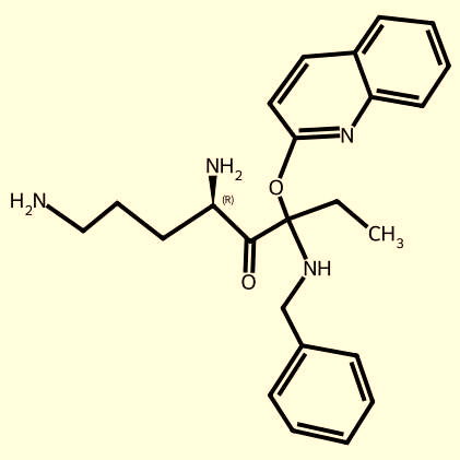 CCC(NCc1ccccc1)(Oc1ccc2ccccc2n1)C(=O)[C@H](N)CCCN